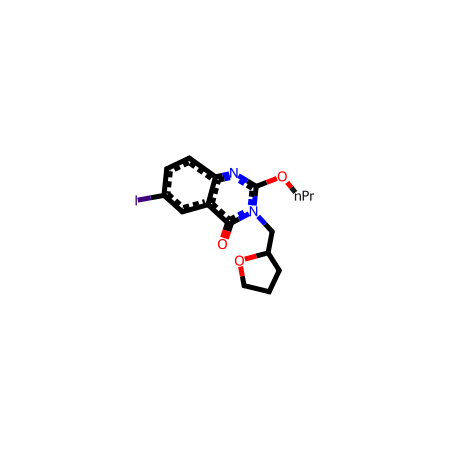 CCCOc1nc2ccc(I)cc2c(=O)n1CC1CCCO1